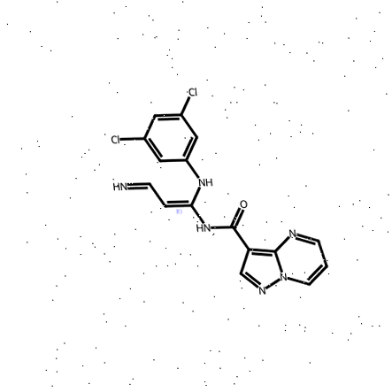 N=C/C=C(/NC(=O)c1cnn2cccnc12)Nc1cc(Cl)cc(Cl)c1